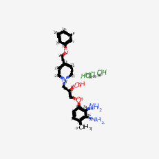 Cc1ccc(OCC(O)CN2CCC(COc3ccccc3)CC2)c(N)c1N.Cl.Cl.Cl